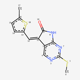 CCSc1ncc2c(n1)NC(=O)C2=Cc1ccc(CC)s1